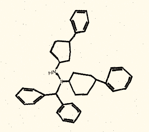 c1ccc(C2CCC(NN(C3CCC(c4ccccc4)CC3)C(c3ccccc3)c3ccccc3)CC2)cc1